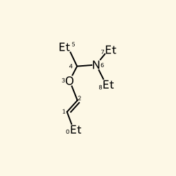 CCC=COC(CC)N(CC)CC